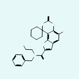 C=C1Nc2c(Cl)cc3cc(C(=O)N(CCO)Cc4ccccc4)oc3c2C2(CCCCC2)N1